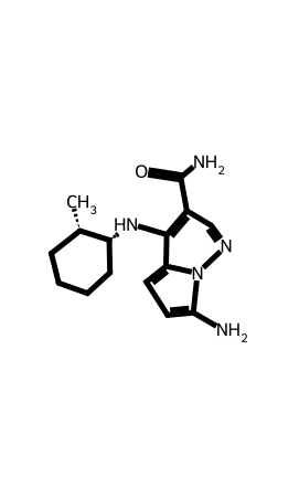 C[C@H]1CCCC[C@H]1Nc1c(C(N)=O)cnn2c(N)ccc12